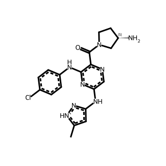 Cc1cc(Nc2cnc(C(=O)N3CC[C@H](N)C3)c(Nc3ccc(Cl)cc3)n2)n[nH]1